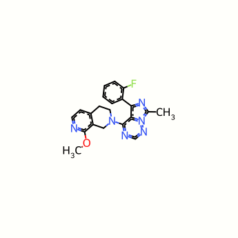 COc1nccc2c1CN(c1ncnn3c(C)nc(-c4ccccc4F)c13)CC2